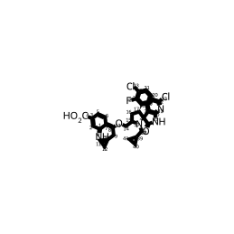 N=C1C=C(C(=O)O)C=C/C1=C(/CC1=CC1)OCC1C[C@H](c2cccc(Cl)c2F)[C@]2(C(=O)Nc3nc(Cl)ccc32)N1CC1CC1